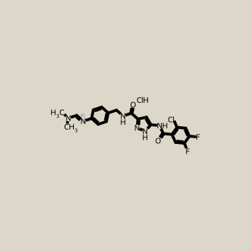 CN(C)/C=N/c1ccc(CNC(=O)c2cc(NC(=O)c3cc(F)c(F)cc3Cl)[nH]n2)cc1.Cl